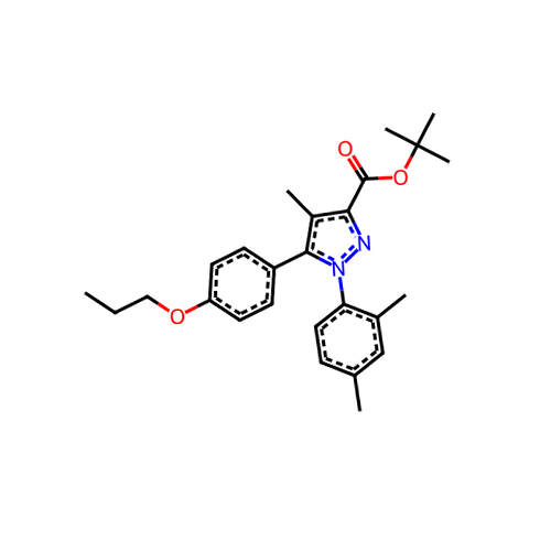 CCCOc1ccc(-c2c(C)c(C(=O)OC(C)(C)C)nn2-c2ccc(C)cc2C)cc1